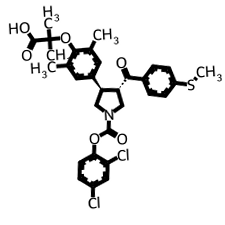 CSc1ccc(C(=O)[C@@H]2CN(C(=O)Oc3ccc(Cl)cc3Cl)C[C@H]2c2cc(C)c(OC(C)(C)C(=O)O)c(C)c2)cc1